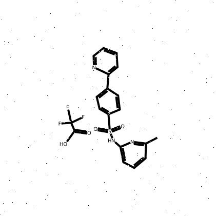 Cc1cccc(NS(=O)(=O)c2ccc(-c3ccccn3)cc2)n1.O=C(O)C(F)(F)F